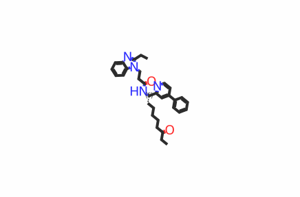 CCC(=O)CCCCC[C@H](NC(=O)CCn1c(CC)nc2ccccc21)c1cc(-c2ccccc2)ccn1